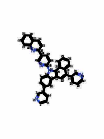 c1cncc(-c2ccc3c(c2)c2cc(-c4cccnc4)c4ccccc4c2n3-c2ccc(-c3ccc4ccccc4n3)cn2)c1